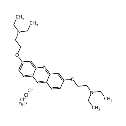 CCN(CC)CCOc1ccc2cc3ccc(OCCN(CC)CC)cc3nc2c1.[Cl-].[Cl-].[Cl-].[Fe+3]